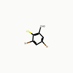 O=Cc1cc(Br)cc(Br)c1S